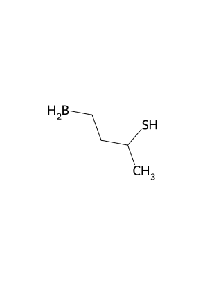 BCCC(C)S